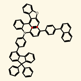 c1ccc(C2(c3ccccc3)c3ccccc3-c3c(-c4ccc(N(c5ccc(-c6ccc(-c7cccc8ccccc78)cc6)cc5)c5ccccc5-c5cccc6oc7ccccc7c56)cc4)cccc32)cc1